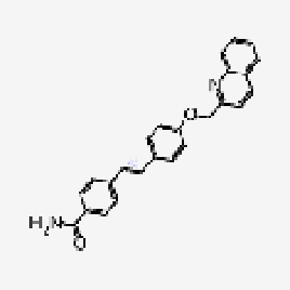 NC(=O)c1ccc(/C=C/c2ccc(OCc3ccc4ccccc4n3)cc2)cc1